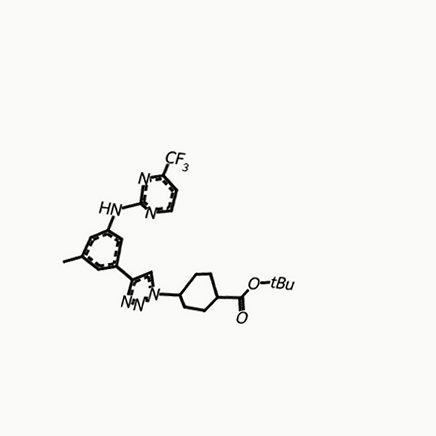 Cc1cc(Nc2nccc(C(F)(F)F)n2)cc(-c2cn(C3CCC(C(=O)OC(C)(C)C)CC3)nn2)c1